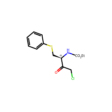 CCOC(=O)N[C@H](CSc1ccccc1)C(=O)CCl